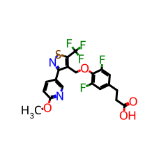 COc1ccc(-c2nsc(C(F)(F)F)c2COc2c(F)cc(CCC(=O)O)cc2F)cn1